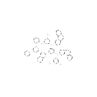 CC(C)(C)c1cc(N2c3cc4c(ccc5ccccc54)cc3B3c4cc5ccc6ccccc6c5cc4N(c4cc(C(C)(C)C)cc(C(C)(C)C)c4)c4cc(-c5nc(-c6cc(-c7ccccc7)cc(-c7ccccc7)c6)c6ccccc6n5)cc2c43)cc(C(C)(C)C)c1